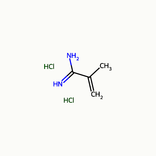 C=C(C)C(=N)N.Cl.Cl